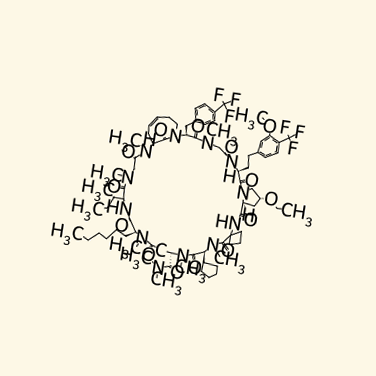 CCCCCC[C@H]1C(=O)N[C@@H]([C@@H](C)CC)C(=O)N(C)CC(=O)N(C)[C@H]2C/C=C\CCN(C2=O)[C@@H](Cc2ccc(C(F)(F)F)cc2)C(=O)N(C)CC(=O)N[C@@H](CCc2ccc(C(F)(F)F)c(OC)c2)C(=O)N2C[C@H](OCC)C[C@H]2C(=O)NC2(CCC2)C(=O)N(C)[C@@H](C2CCCC2)C(=O)N(C)[C@H](C(=O)N(C)C)CC(=O)N1C